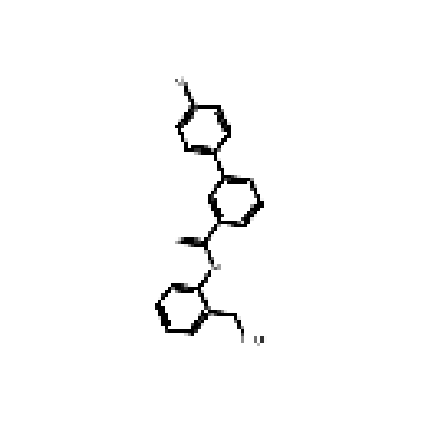 O=C(O)Cc1ccccc1NC(=O)c1cccc(-c2ccc(Cl)cc2)c1